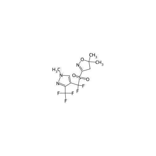 Cn1cc(C(F)(F)S(=O)(=O)C2=NOC(C)(C)C2)c(C(F)(F)F)n1